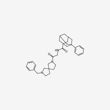 O=C(CNC(=O)C12CC3CC(C1)CC(c1ccccc1)(C3)C2)N1CCC2(CCN(Cc3ccccc3)C2)C1